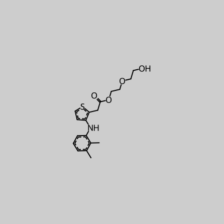 Cc1cccc(Nc2ccsc2CC(=O)OCCOCCO)c1C